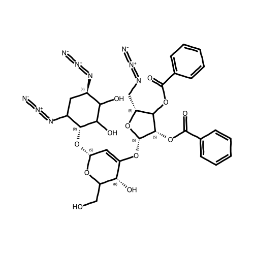 [N-]=[N+]=NC[C@H]1O[C@@H](OC2=C[C@@H](O[C@@H]3C(N=[N+]=[N-])C[C@@H](N=[N+]=[N-])C(O)C3O)OC(CO)[C@H]2O)[C@@H](OC(=O)c2ccccc2)C1OC(=O)c1ccccc1